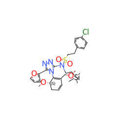 COCC1=C(n2c(-c3ccco3)nnc2N(CC[Si](C)(C)C)S(=O)(=O)CCc2ccc(Cl)cc2)[C@@H](OC)CC=C1